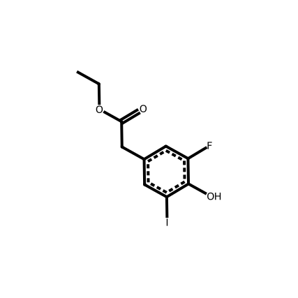 CCOC(=O)Cc1cc(F)c(O)c(I)c1